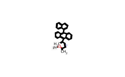 C=C(/C=C\C(=C)c1c2ccccc2c(-c2cccc3ccccc23)c2ccccc12)OC(C)C